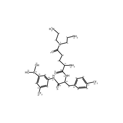 NCCN(CCN)C(=O)CCC(N)C(=O)NC(Cc1ccc(C(F)(F)F)cc1)C(=O)Nc1cc(B(O)O)cc(C(F)(F)F)c1